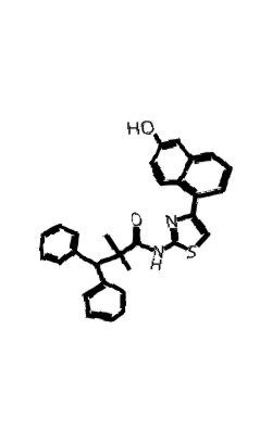 CC(C)(C(=O)Nc1nc(-c2cccc3cc(O)ccc23)cs1)C(c1ccccc1)c1ccccc1